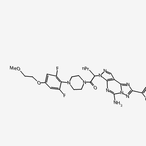 CCCC(C(=O)N1CCN(c2c(F)cc(OCCOC)cc2F)CC1)n1ncc2c1nc(N)n1nc(-c3ccco3)nc21